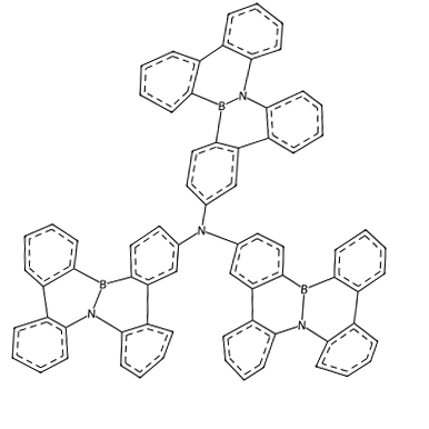 c1ccc2c(c1)B1c3ccc(N(c4ccc5c(c4)-c4ccccc4N4B5c5ccccc5-c5ccccc54)c4ccc5c(c4)-c4ccccc4N4B5c5ccccc5-c5ccccc54)cc3-c3ccccc3N1c1ccccc1-2